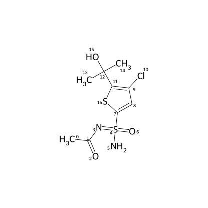 CC(=O)N=S(N)(=O)c1cc(Cl)c(C(C)(C)O)s1